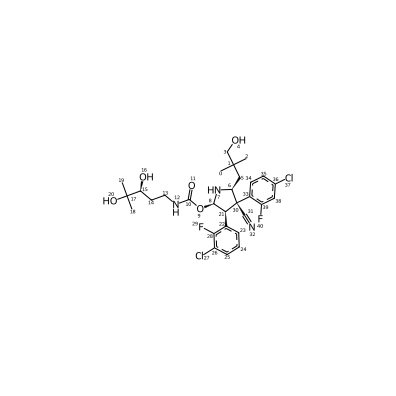 CC(C)(CO)C[C@@H]1N[C@H](OC(=O)NCC[C@H](O)C(C)(C)O)[C@H](c2cccc(Cl)c2F)[C@@]1(C#N)c1ccc(Cl)cc1F